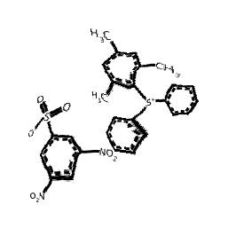 Cc1cc(C)c([S+](c2ccccc2)c2ccccc2)c(C)c1.O=[N+]([O-])c1cc([N+](=O)[O-])cc(S(=O)(=O)[O-])c1